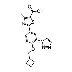 Cc1nc(-c2ccc(OCC3CCC3)c(-n3ccnn3)c2)sc1C(=O)O